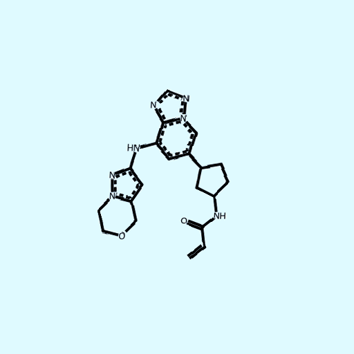 C=CC(=O)NC1CCC(c2cc(Nc3cc4n(n3)CCOC4)c3ncnn3c2)C1